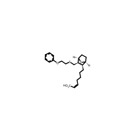 O=C(O)/C=C\CCCC[C@H]1[C@@H](CSCCOc2ccccc2)[C@H]2CC[C@@H]1O2